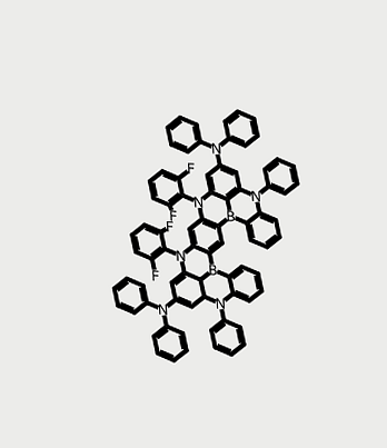 Fc1cccc(F)c1N1C2=CC(N(c3ccccc3)c3ccccc3)=CC3C2B(c2cc4c(cc21)N(c1c(F)cccc1F)c1cc(N(c2ccccc2)c2ccccc2)cc2c1B4c1ccccc1N2c1ccccc1)c1ccccc1N3c1ccccc1